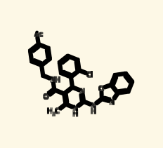 CC(=O)c1ccc(CNC(=O)C2=C(C)NC(Nc3nc4ccccc4o3)=NC2c2ccccc2Cl)cc1